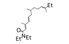 CC/C(C)=C/CCC(C)C/C=C/C(C)=C/C(=O)N(CC)CC